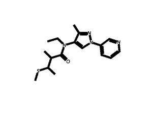 CCN(C(=O)C(C)C(C)SC)c1cn(-c2cccnc2)nc1C